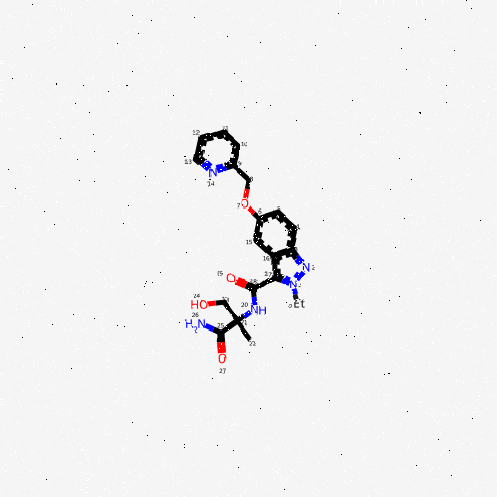 CCn1nc2ccc(OCc3ccccn3)cc2c1C(=O)NC(C)(CO)C(N)=O